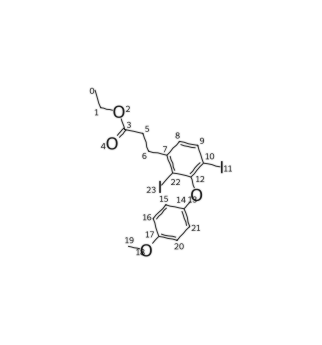 CCOC(=O)CCc1ccc(I)c(Oc2ccc(OC)cc2)c1I